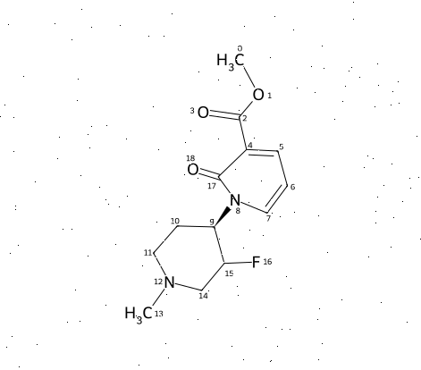 COC(=O)c1cccn([C@@H]2CCN(C)CC2F)c1=O